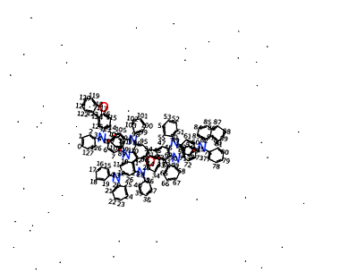 c1ccc(N(c2ccc(-n3c4cc(N(c5ccccc5)c5ccccc5)cc(N(c5ccccc5)c5ccccc5)c4c4c5oc6c(cc(N(c7ccccc7)c7ccccc7)c7c6c6ccccc6n7-c6ccc(N(c7ccccc7)c7cccc8ccccc78)cc6)c5cc(N(c5ccccc5)c5ccccc5)c43)cc2)c2ccc3oc4ccccc4c3c2)cc1